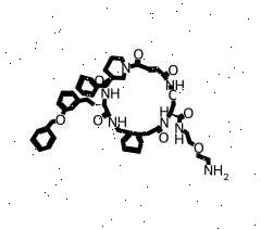 NCCOCCNC(=O)[C@@H]1CCNC(=O)/C=C/C(=O)N2CCC[C@](Cc3ccccc3)(C2)C(=O)N[C@@H](CCc2cccc(OCc3ccccc3)c2)C(=O)NCc2ccccc2CC(=O)N1